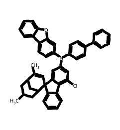 CC1=CC2(c3ccccc3-c3c(Cl)cc(N(c4ccc(-c5ccccc5)cc4)c4ccc5c(c4)oc4ccccc45)cc32)C2CC(C)CC1C2